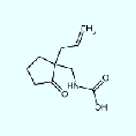 C=CCC1(CNC(=O)O)CCCC1=O